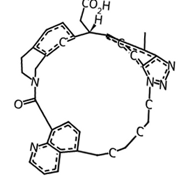 Cc1c2ccc3c1nnn3CCCCCCc1ccc(c3ncccc13)C(=O)N1CCc3ccc(cc3C1)[C@@H]2CC(=O)O